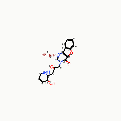 Br.Br.O=C(CC1NCCCC1O)Cn1cnc2c(oc3ccccc32)c1=O